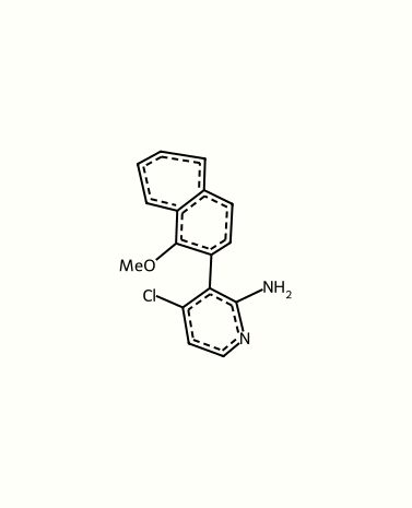 COc1c(-c2c(Cl)ccnc2N)ccc2ccccc12